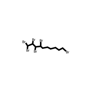 BrCCCCCCC(Br)C(Br)C(Br)C(Br)Br